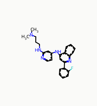 CN(C)CCCNc1cc(Nc2cc(-c3ccccc3F)nc3ccccc23)ccn1